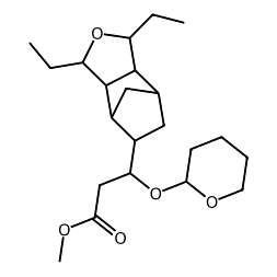 CCC1OC(CC)C2C3CC(CC3C(CC(=O)OC)OC3CCCCO3)C12